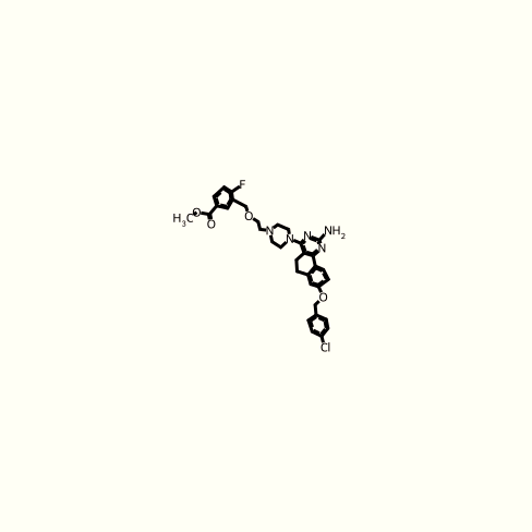 COC(=O)c1ccc(F)c(COCCN2CCN(c3nc(N)nc4c3CCc3cc(OCc5ccc(Cl)cc5)ccc3-4)CC2)c1